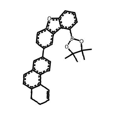 CC1(C)OB(c2cccc3oc4ccc(-c5ccc6c7c(ccc6c5)CCC=C7)cc4c23)OC1(C)C